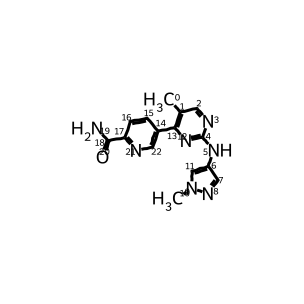 Cc1cnc(Nc2cnn(C)c2)nc1-c1ccc(C(N)=O)nc1